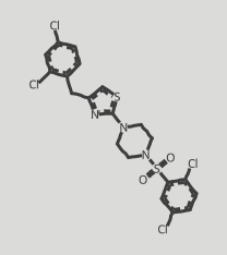 O=S(=O)(c1cc(Cl)ccc1Cl)N1CCN(c2nc(Cc3ccc(Cl)cc3Cl)cs2)CC1